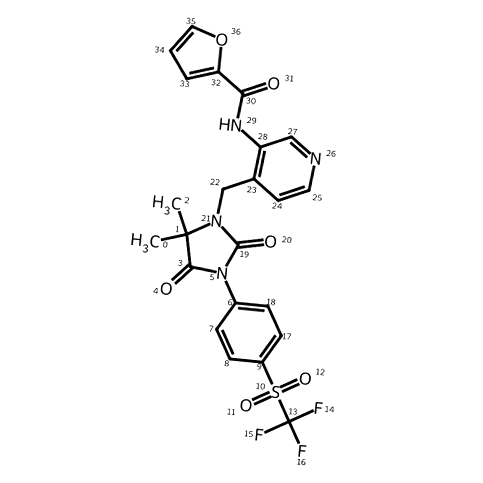 CC1(C)C(=O)N(c2ccc(S(=O)(=O)C(F)(F)F)cc2)C(=O)N1Cc1ccncc1NC(=O)c1ccco1